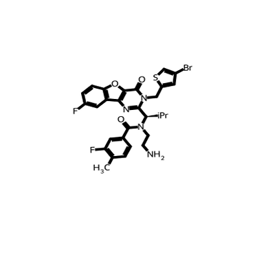 Cc1ccc(C(=O)N(CCN)[C@@H](c2nc3c(oc4ccc(F)cc43)c(=O)n2Cc2cc(Br)cs2)C(C)C)cc1F